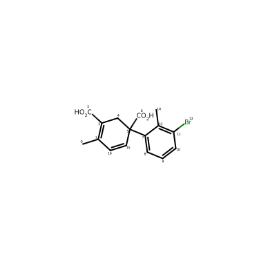 CC1=C(C(=O)O)CC(C(=O)O)(c2cccc(Br)c2C)C=C1